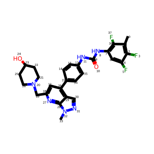 Cc1c(F)c(F)cc(NC(=O)Nc2ccc(-c3cc(CN4CCC(O)CC4)nc4c3cnn4C)cc2)c1F